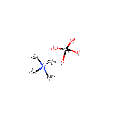 CCCC[N+](C)(CCCC)CCCC.[O-][Si](O)(O)O